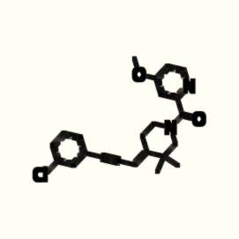 COc1ccnc(C(=O)N2CC/C(=C\C#Cc3cccc(Cl)c3)C(C)(C)C2)c1